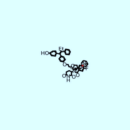 CCC(=C(c1ccc(O)cc1)c1ccc(OCCN2CCC(CN3CC4CC(C3)N4c3cc4c(cc3F)C(=O)N(C3CCC(=O)NC3=O)C4=O)CC2)cc1)c1ccccc1